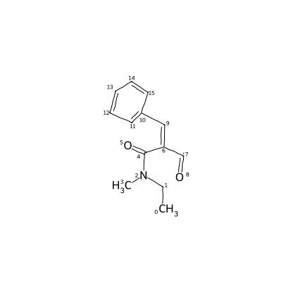 CCN(C)C(=O)C([C]=O)=Cc1ccccc1